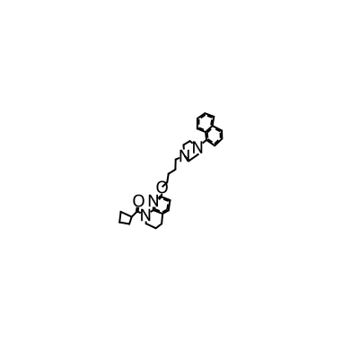 O=C(C1CCC1)N1CCCc2ccc(OCCCCN3CCN(c4cccc5ccccc45)CC3)nc21